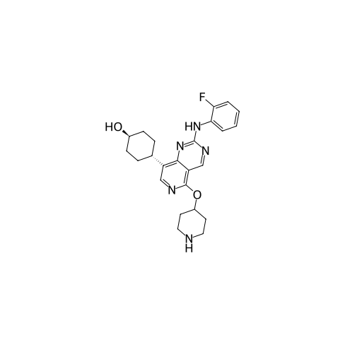 O[C@H]1CC[C@H](c2cnc(OC3CCNCC3)c3cnc(Nc4ccccc4F)nc32)CC1